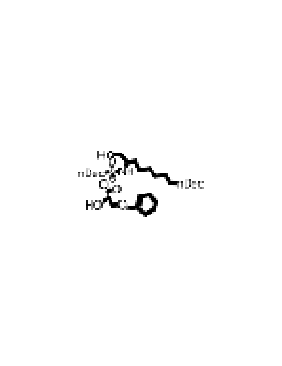 CCCCCCCCCCCCCCCCC(CO)NS(=O)(=O)CCCCCCCCCC.O=P(=O)C(O)COCc1ccccc1